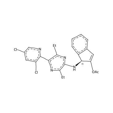 CCc1nc(-c2ncc(Cl)cc2Cl)c(CC)nc1N[C@@H]1C(OC(C)=O)=Cc2ccccc21